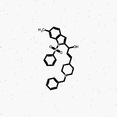 Cc1ccc2cc(C(O)C=CC3CCN(Cc4ccccc4)CC3)n(S(=O)(=O)c3ccccc3)c2c1